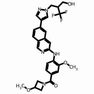 COc1cc(C(=O)N2CC(OC)C2)ccc1Nc1cc2cc(-c3cnn(CC(CO)C(F)(F)F)c3)ccc2cn1